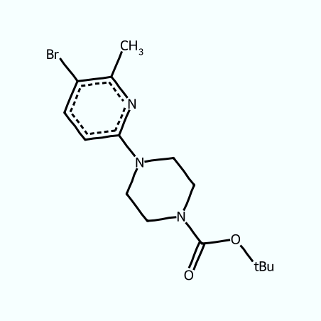 Cc1nc(N2CCN(C(=O)OC(C)(C)C)CC2)ccc1Br